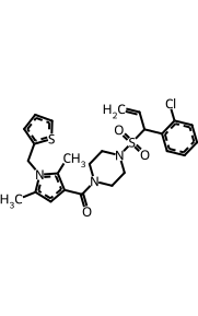 C=CC(c1ccccc1Cl)S(=O)(=O)N1CCN(C(=O)c2cc(C)n(Cc3cccs3)c2C)CC1